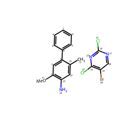 COc1cc(-c2ccccc2)c(C)cc1N.Clc1ncc(Br)c(Cl)n1